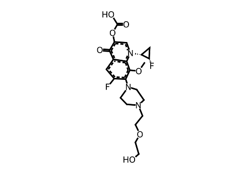 COc1c(N2CCN(CCOCCO)CC2)c(F)cc2c(=O)c(OC(=O)O)cn([C@@H]3C[C@@H]3F)c12